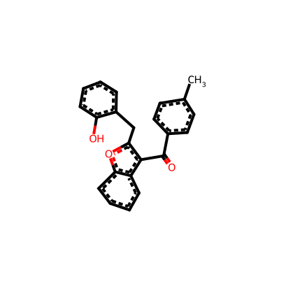 Cc1ccc(C(=O)c2c(Cc3ccccc3O)oc3ccccc23)cc1